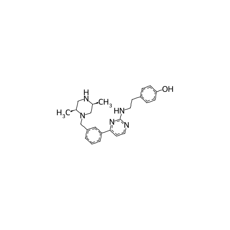 C[C@H]1CN(Cc2cccc(-c3ccnc(NCCc4ccc(O)cc4)n3)c2)[C@@H](C)CN1